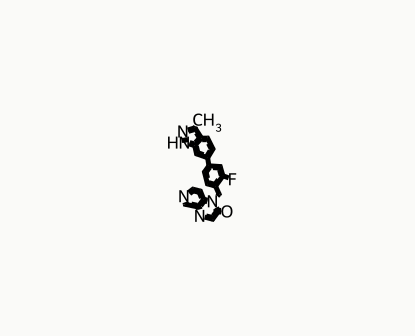 Cc1n[nH]c2cc(-c3ccc(Cn4c(=O)cnc5cnccc54)c(F)c3)ccc12